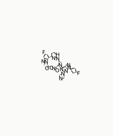 COC1CN(C)C(=O)C2CC(CN2c2nc(N3CCN(C)CC3)nc3c2cnn3-c2ccc(F)cc2)Nc2cccc(n2)-c2cc(F)cc3nc(C)n(c23)C1